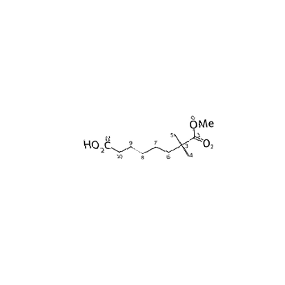 COC(=O)C(C)(C)CCCCCC(=O)O